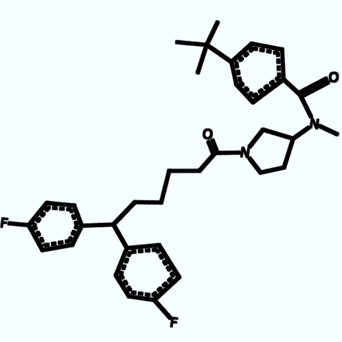 CN(C(=O)c1ccc(C(C)(C)C)cc1)C1CCN(C(=O)CCCCC(c2ccc(F)cc2)c2ccc(F)cc2)C1